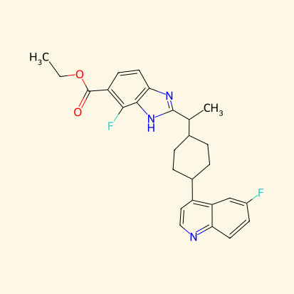 CCOC(=O)c1ccc2nc(C(C)C3CCC(c4ccnc5ccc(F)cc45)CC3)[nH]c2c1F